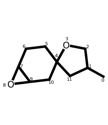 CC1COC2(CCC3OC3C2)C1